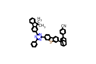 CC1(C)c2ccccc2-c2ccc(-c3nc(-c4ccccc4)nc(-c4ccc5c(c4)sc4cc(C67CC8CC(CC(c9ccc(C#N)cc9)(C8)C6)C7)ccc45)n3)cc21